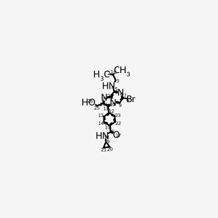 CC(C)CNc1nc(Br)cn2c(-c3ccc(C(=O)NC4CC4)cc3)c(CO)nc12